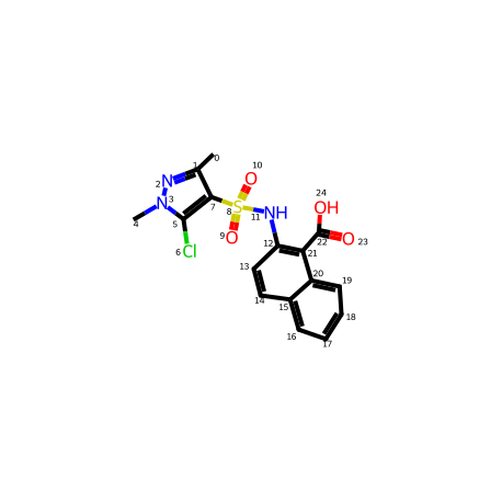 Cc1nn(C)c(Cl)c1S(=O)(=O)Nc1ccc2ccccc2c1C(=O)O